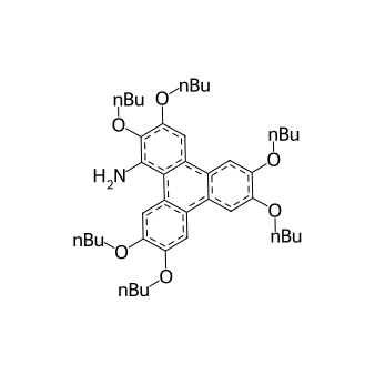 CCCCOc1cc2c3cc(OCCCC)c(OCCCC)cc3c3c(N)c(OCCCC)c(OCCCC)cc3c2cc1OCCCC